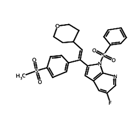 CS(=O)(=O)c1ccc(C(=CC2CCOCC2)c2cc3cc(F)cnc3n2S(=O)(=O)c2ccccc2)cc1